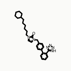 O=c1n(CCCCCCC2CCCCC2)ccn1Cc1ccc(-c2ccccc2-c2nnn[nH]2)cc1